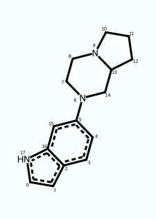 c1cc2ccc(N3CCN4CCCC4C3)cc2[nH]1